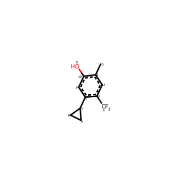 Cc1cc(C(F)(F)F)c(C2CC2)cc1O